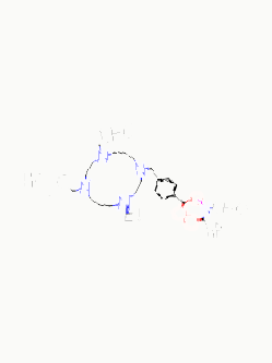 CCCC(=O)N(C=O)OC(=O)c1ccc(CN2CCCN(CC=O)CCN(CC(=O)O)CCCN(CC)CC2)cc1